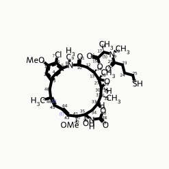 COc1cc2cc(c1Cl)N(C)C(=O)C[C@H](OC(=O)[C@H](C)N(C)C(=O)CCCS)[C@]1(C)O[C@H]1[C@H](C)[C@@H]1C[C@@](O)(NC(=O)O1)[C@H](OC)/C=C/C=C(/C)C2